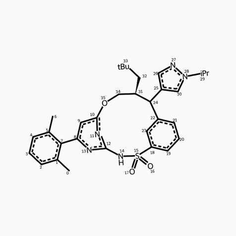 Cc1cccc(C)c1-c1cc2nc(n1)NS(=O)(=O)c1cccc(c1)C(c1cnn(C(C)C)c1)[C@H](CC(C)(C)C)CO2